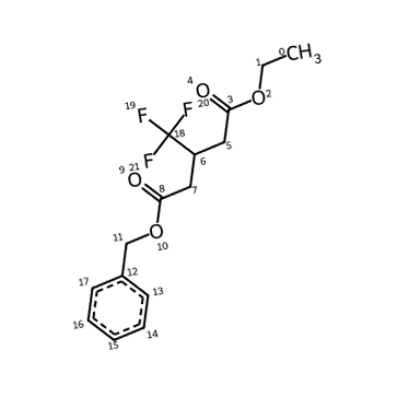 CCOC(=O)CC(CC(=O)OCc1ccccc1)C(F)(F)F